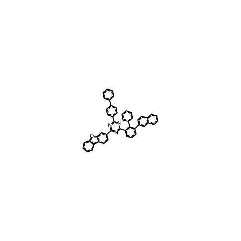 c1ccc(-c2ccc(-c3nc(-c4ccc5c(c4)oc4ccccc45)nc(-c4cccc(-c5ccc6ccccc6c5)c4-c4ccccc4)n3)cc2)cc1